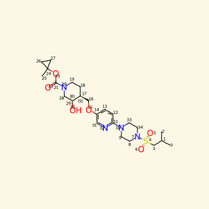 CC(C)CS(=O)(=O)N1CCN(c2ccc(OC[C@@H]3CCN(C(=O)OC4(C)CC4)C[C@@H]3O)cn2)CC1